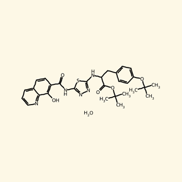 CC(C)(C)OC(=O)C(Cc1ccc(OC(C)(C)C)cc1)Nc1nnc(NC(=O)c2ccc3cccnc3c2O)s1.O